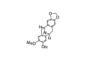 COc1cc2c(cc1O)[C@H]1Cc3cc4c(cc3[C@@H](C2)N1C)OCO4